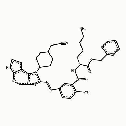 N#CCC1CCC(n2c(/N=N/c3ccc(O)c(C(=O)N[C@H](CCCCN)C(=O)OCc4ccccc4)c3)nc3cnc4[nH]ccc4c32)CC1